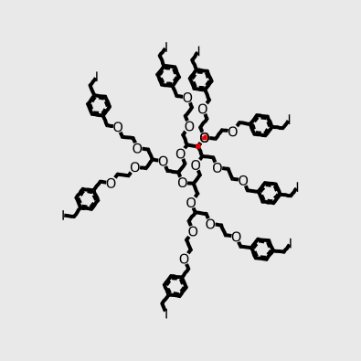 ICc1ccc(COCCOCC(COCCOCc2ccc(CI)cc2)OCC(COC(COCCOCc2ccc(CI)cc2)COCCOCc2ccc(CI)cc2)OC(COC(COCCOCc2ccc(CI)cc2)COCCOCc2ccc(CI)cc2)COC(COCCOCc2ccc(CI)cc2)COCCOCc2ccc(CI)cc2)cc1